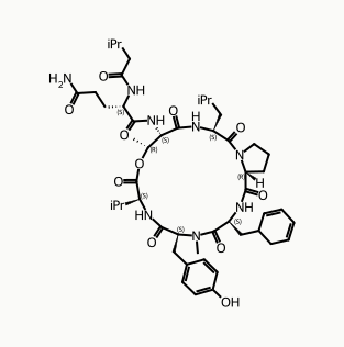 CC(C)CC(=O)N[C@@H](CCC(N)=O)C(=O)N[C@@H]1C(=O)N[C@@H](CC(C)C)C(=O)N2CCC[C@@H]2C(=O)N[C@@H](CC2C=CC=CC2)C(=O)N(C)[C@@H](Cc2ccc(O)cc2)C(=O)N[C@@H](C(C)C)C(=O)O[C@@H]1C